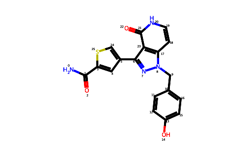 NC(=O)c1cc(-c2nn(Cc3ccc(O)cc3)c3cc[nH]c(=O)c23)cs1